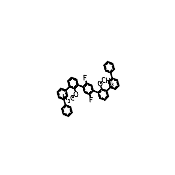 COc1c(-c2cccc(-c3ccccc3)c2)cccc1-c1cc(F)c(-c2cccc(-c3cccc(-c4ccccc4)c3)c2OC)cc1F